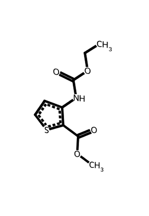 CCOC(=O)Nc1ccsc1C(=O)OC